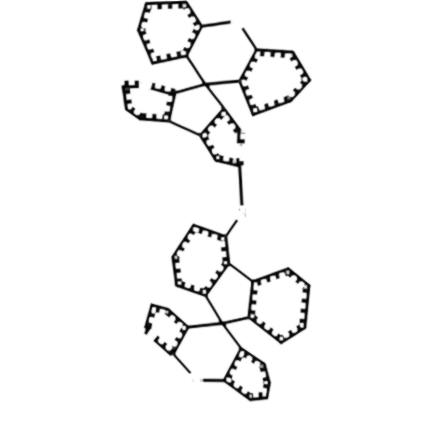 c1ccc2c(c1)Oc1ccccc1C21c2ccccc2-c2cc(Nc3cccc4c3-c3ccccc3C43c4ccccc4Oc4ccccc43)ccc21